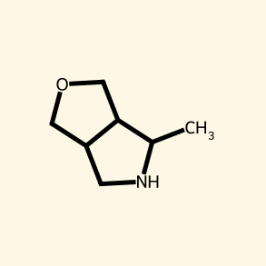 CC1NCC2COCC21